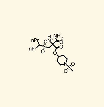 CCCC(CCC)S(=O)(=O)CC(N)(C(N)=O)C(=O)OC1CCN(S(C)(=O)=O)CC1